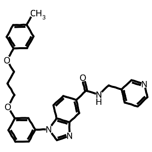 Cc1ccc(OCCCOc2cccc(-n3cnc4cc(C(=O)NCc5cccnc5)ccc43)c2)cc1